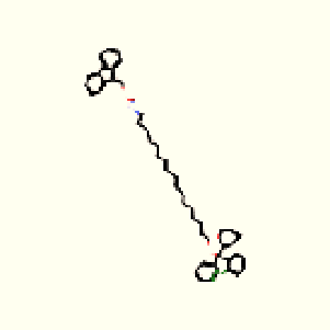 O=C(CCCCCCCCCCCCCCCCNC(=O)OCC1c2ccccc2-c2ccccc21)OC(c1ccccc1)(c1ccccc1)c1ccccc1Cl